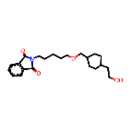 O=C1c2ccccc2C(=O)N1CCCCCOCC1CCC(CCO)CC1